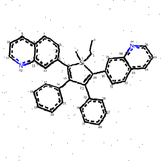 CC[Si]1(C)C(c2ccc3cccnc3c2)=C(c2ccccc2)C(c2ccccc2)=C1c1ccc2cccnc2c1